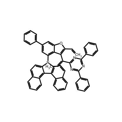 C=Cc1oc2cc(-c3ccccc3)cc(-n3c4ccc5ccccc5c4c4c5ccccc5ccc43)c2c1/C(=C\C)c1nc(-c2ccccc2)nc(-c2ccccc2)n1